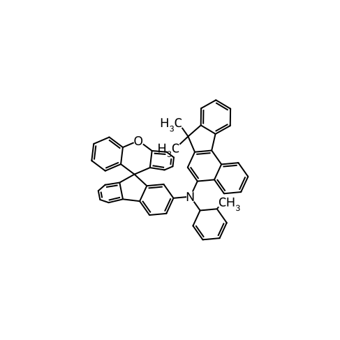 CC1C=CC=CC1N(c1ccc2c(c1)C1(c3ccccc3Oc3ccccc31)c1ccccc1-2)c1cc2c(c3ccccc13)-c1ccccc1C2(C)C